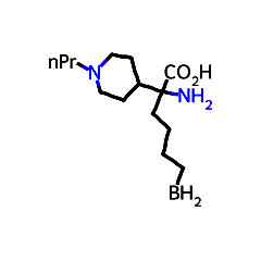 BCCCCC(N)(C(=O)O)C1CCN(CCC)CC1